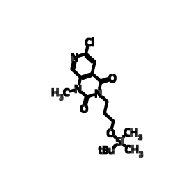 Cn1c(=O)n(CCCO[Si](C)(C)C(C)(C)C)c(=O)c2cc(Cl)ncc21